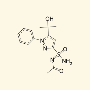 CC(=O)N=S(N)(=O)c1cc(C(C)(C)O)n(-c2ccccc2)n1